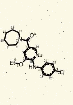 CCOc1cc(C(=O)N2CCCCCC2)cnc1Nc1ccc(Cl)cc1